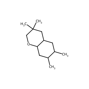 CC1CC2CC(C)(C)COC2CC1C